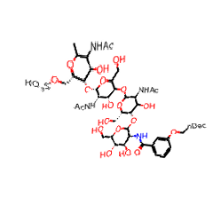 CCCCCCCCCCCOc1cccc(C(=O)N[C@@H]2C(O[C@H]3C(O)C(NC(C)=O)C(OC4C(CO)O[C@@H](O[C@H]5C(O)C(NC(C)=O)C(C)O[C@H]5COS(=O)(=O)O)[C@@H](NC(C)=O)[C@H]4O)O[C@H]3CO)OC(CO)[C@@H](O)[C@@H]2O)c1